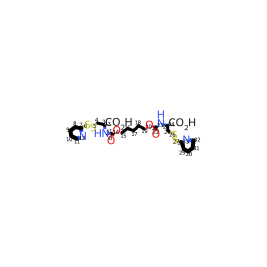 O=C(NC(CSSc1ccccn1)C(=O)O)OCCCCCOC(=O)NC(CSSc1ccccn1)C(=O)O